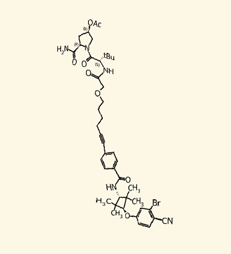 CC(=O)O[C@@H]1C[C@H](C(N)=O)N(C(=O)[C@@H](NC(=O)COCCCCC#Cc2ccc(C(=O)N[C@H]3C(C)(C)[C@H](Oc4ccc(C#N)c(Br)c4)C3(C)C)cc2)C(C)(C)C)C1